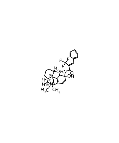 C[N+]1(C)CC[C@]23C4=C5C=CC(O)(NC(=O)C(=Cc6ccccc6)C(F)(F)F)C4O[C@H]2CCC[C@H]3[C@H]1C5